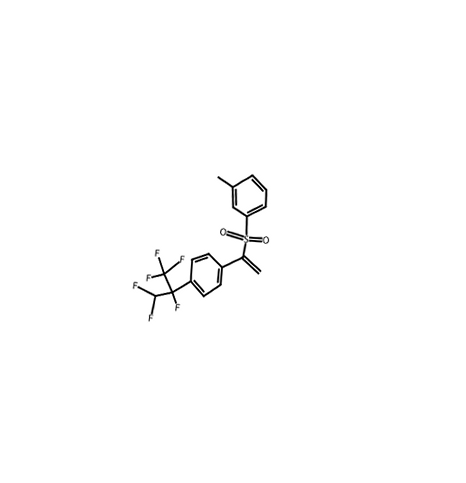 C=C(c1ccc(C(F)(C(F)F)C(F)(F)F)cc1)S(=O)(=O)c1cccc(C)c1